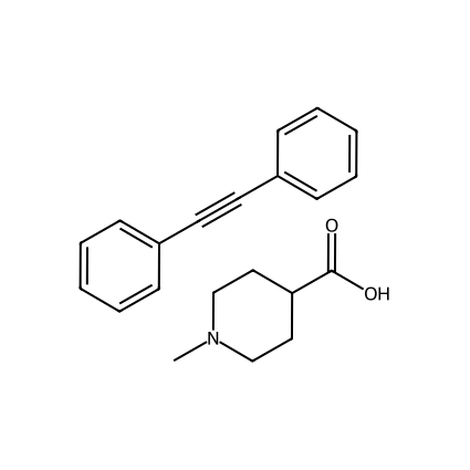 C(#Cc1ccccc1)c1ccccc1.CN1CCC(C(=O)O)CC1